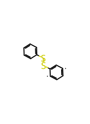 [c]1cc[c]c(SSc2ccccc2)c1